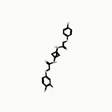 O=C(COc1ccc(Cl)cc1)NC12CC(NC(=O)COc3ccc(F)c(F)c3)(C1)C2